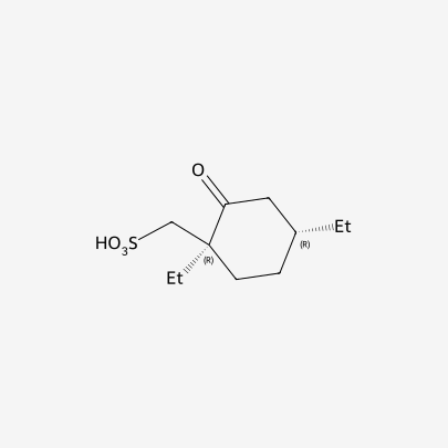 CC[C@@H]1CC[C@@](CC)(CS(=O)(=O)O)C(=O)C1